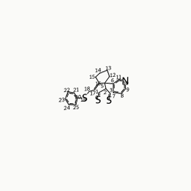 S=CC(C=S)C1(c2cccnc2)CCCCC1=CCSc1ccccc1